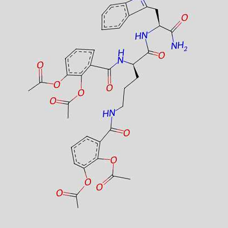 CC(=O)Oc1cccc(C(=O)NCCC[C@@H](NC(=O)c2cccc(OC(C)=O)c2OC(C)=O)C(=O)N[C@@H](CC2=Nc3ccccc32)C(N)=O)c1OC(C)=O